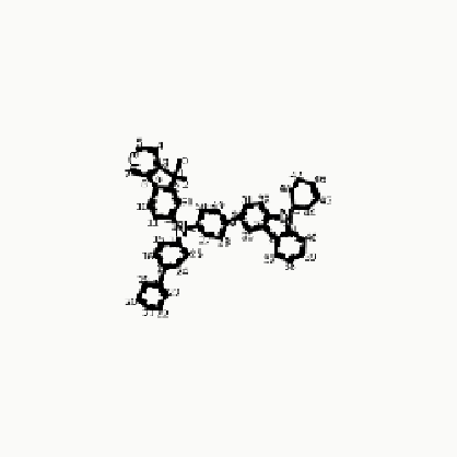 CC1(C)c2ccccc2-c2ccc(N(c3ccc(-c4ccccc4)cc3)c3ccc(-c4ccc5c(c4)c4ccccc4n5C4CC=CCC4)cc3)cc21